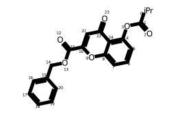 CC(C)C(=O)Oc1cccc2oc(C(=O)OCc3ccccc3)cc(=O)c12